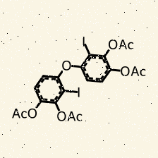 CC(=O)Oc1ccc(Oc2ccc(OC(C)=O)c(OC(C)=O)c2I)c(I)c1OC(C)=O